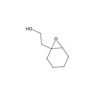 OCCC12CCCC[C]1O2